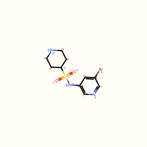 O=S(=O)(Nc1cncc(Br)c1)C1CCNCC1